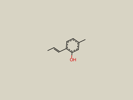 CC=Cc1ccc(C)cc1O